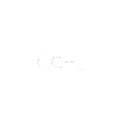 O=CCC1Cc2ccncc2C1